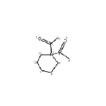 CC(=O)[N+]1(C(C)=O)CCCCC1